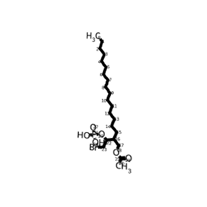 CCCCCCCCCCCCCCCCC(COC(C)=O)C(CBr)OP(=O)(O)O